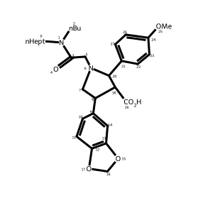 CCCCCCCN(CCCC)C(=O)CN1CC(c2ccc3c(c2)OCO3)C(C(=O)O)C1c1ccc(OC)cc1